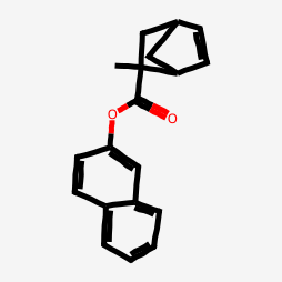 CC1(C(=O)Oc2ccc3ccccc3c2)CC2C=CC1C2